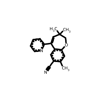 Cc1cc2c(cc1C#N)C(c1ccccn1)=CC(C)(C)CO2